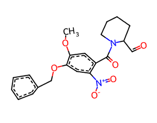 COc1cc(C(=O)N2CCCCC2C=O)c([N+](=O)[O-])cc1OCc1ccccc1